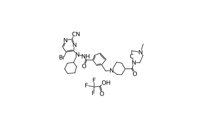 CN1CCN(C(=O)C2CCN(Cc3cccc(C(=O)NN(c4nc(C#N)ncc4Br)C4CCCCC4)c3)CC2)CC1.O=C(O)C(F)(F)F